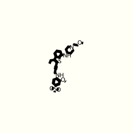 CCc1c(C#CCNc2ccc(S(C)(=O)=O)cc2OC)sc2c(NC3CCN(CCOC)CC3)cccc12